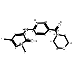 Cn1cc(I)cc(Nc2ccc(C(=O)N3CCOCC3)cn2)c1=O